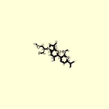 CNc1nc(C(C)C)ccc1-c1nc2c(C)cn([C@@H](CF)COC)c2cc1C